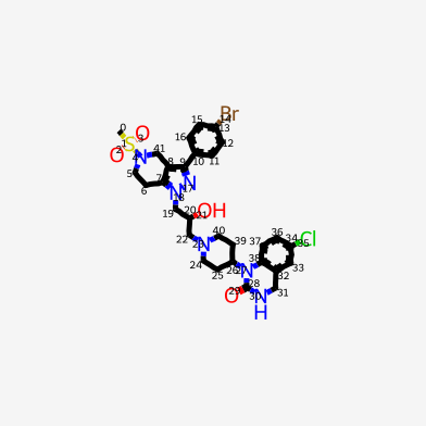 CS(=O)(=O)N1CCc2c(c(-c3ccc(Br)cc3)nn2CC(O)CN2CCC(N3C(=O)NCc4cc(Cl)ccc43)CC2)C1